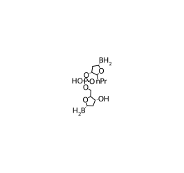 B[C@H]1C[C@@H](O)C(COP(=O)(O)O[C@@H]2C[C@H](B)OC2CCC)O1